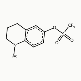 CC(=O)N1CCCc2cc(OS(=O)(=O)C(F)(F)F)ccc21